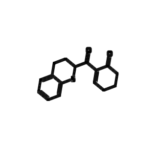 O=C1CCCC=C1C(=O)C1CCc2ccccc2S1